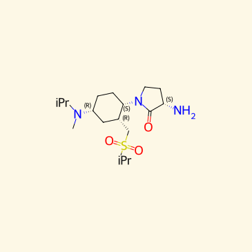 CC(C)N(C)[C@@H]1CC[C@H](N2CC[C@H](N)C2=O)[C@H](CS(=O)(=O)C(C)C)C1